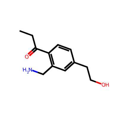 CCC(=O)c1ccc(CCO)cc1CN